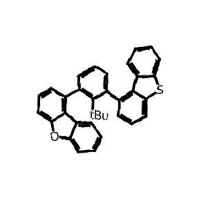 CC(C)(C)c1c(-c2cccc3oc4ccccc4c23)cccc1-c1cccc2sc3ccccc3c12